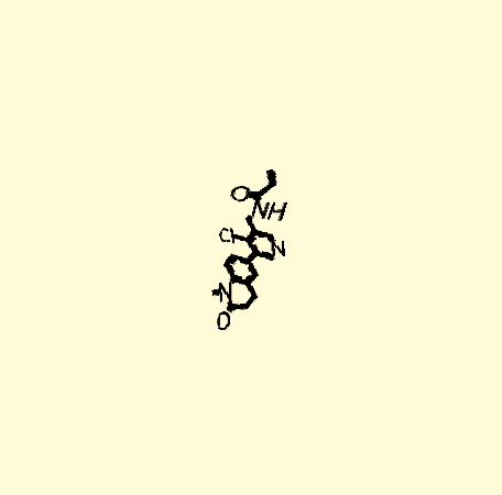 CCC(=O)NCc1cncc(-c2ccc3c(c2)CCC(=O)N3C)c1Cl